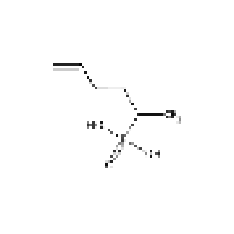 C=CCCC(C(F)(F)F)P(=O)(O)O